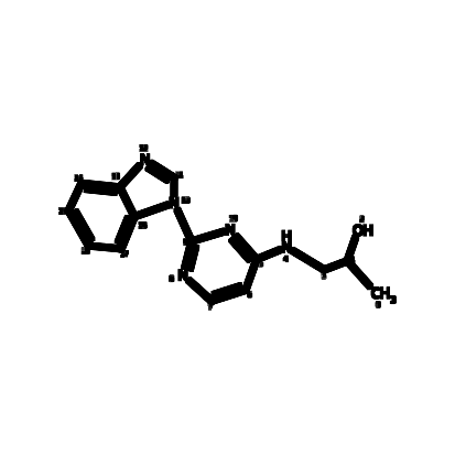 CC(O)CNc1ccnc(-n2cnc3ccccc32)n1